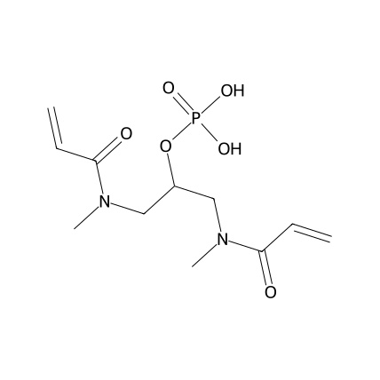 C=CC(=O)N(C)CC(CN(C)C(=O)C=C)OP(=O)(O)O